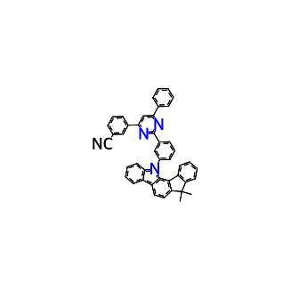 CC1(C)c2ccccc2-c2c1ccc1c3ccccc3n(-c3cccc(-c4nc(-c5ccccc5)cc(-c5cccc(C#N)c5)n4)c3)c21